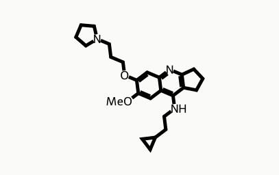 COc1cc2c(NCCC3CC3)c3c(nc2cc1OCCCN1CCCC1)CCC3